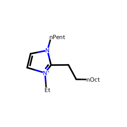 CCCCCCCCCCc1n(CCCCC)cc[n+]1CC